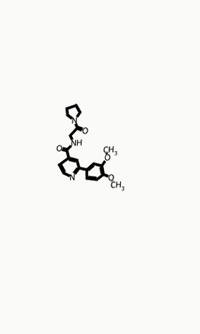 COc1ccc(-c2cc(C(=O)NCC(=O)N3CCCC3)ccn2)cc1OC